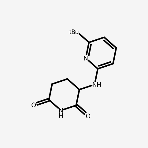 CC(C)(C)c1cccc(NC2CCC(=O)NC2=O)n1